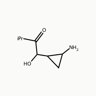 CC(C)C(=O)C(O)C1CC1N